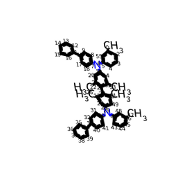 Cc1cccc(N(c2ccc(-c3ccccc3)cc2)c2cc(C)c(-c3c(C)cc(N(c4ccc(-c5ccccc5)cc4)c4cccc(C)c4)cc3C)c(C)c2)c1